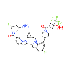 Cc1c(-c2cc3cc(F)cc(C4CCN(C(=O)C5CC(O)(C(F)(F)F)C5)CC4)c3n2CC2CC2)nn2cc(C(=O)N3C[C@H](N)C[C@@H](F)C3)ccc12